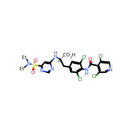 CCN(CC)S(=O)(=O)c1cc(N[C@@H](Cc2cc(Cl)c(NC(=O)c3c(Cl)cncc3Cl)c(Cl)c2)C(=O)O)ncn1